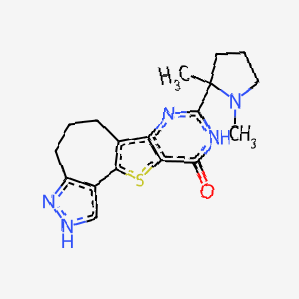 CN1CCCC1(C)c1nc2c3c(sc2c(=O)[nH]1)-c1c[nH]nc1CCC3